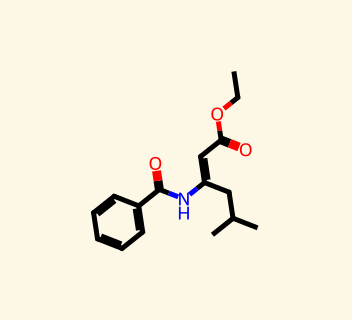 CCOC(=O)C=C(CC(C)C)NC(=O)c1ccccc1